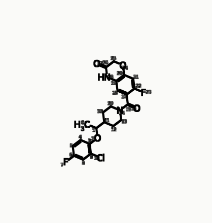 CC(Oc1ccc(F)cc1Cl)C1CCN(C(=O)c2cc3c(cc2F)OCC(=O)N3)CC1